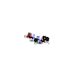 CCCCC(C(=O)NNc1c(Cl)c(NCCC[Si](OCC)(OCC)OCC)c(C#N)c(Cl)c1C#N)[C@@H](C)c1cccc2ccccc12